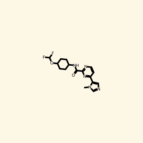 Cn1cncc1-c1ccnc(C(=O)NC2CCC(OC(F)F)CC2)n1